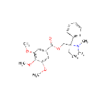 CC[C@](COC(=O)c1cc(OC)c(OC)c(OC)c1)(c1ccccc1)N(C)C